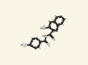 Cc1ccc(C(=O)NC(=S)c2cc3ccccc3cc2O)cc1